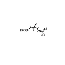 CCOC(=O)CC(C)(C)CC=C(Cl)Cl